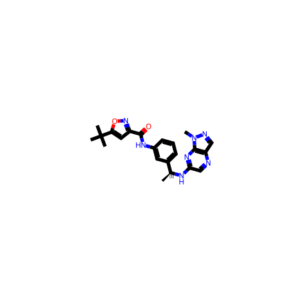 C[C@H](Nc1cnc2cnn(C)c2n1)c1cccc(NC(=O)c2cc(C(C)(C)C)on2)c1